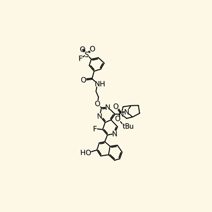 CC(C)(C)OC(=O)N1C2CCC1CN(c1nc(OCCNC(=O)c3cccc(S(=O)(=O)F)c3)nc3c(F)c(-c4cc(O)cc5ccccc45)ncc13)C2